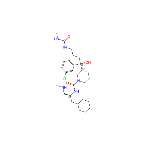 CNC[C@H](CC1CCCCC1)NC(=O)N1CCC[C@@H]([C@@](O)(CCCNC(=O)NC)c2cccc(Cl)c2)C1